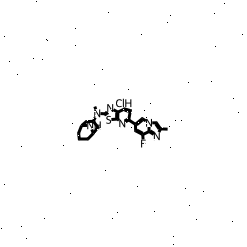 Cc1cn2cc(-c3ccc4nc(N(C)C5CC6CCCC(C5)N6)sc4n3)cc(F)c2n1.Cl